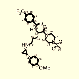 COc1ccc([C@@H]2C[C@H]2NCCC[C@H](NC(=O)c2ccc(C(F)(F)F)cc2)C(=O)N2CCN(S(C)(=O)=O)CC2)cc1